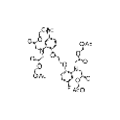 CC(=O)OCOC(=O)CN(CC(=O)OCOC(C)=O)c1cc(F)ccc1OCCOc1ccc(F)cc1N(CC(=O)OCOC(C)=O)CC(=O)OCOC(C)=O